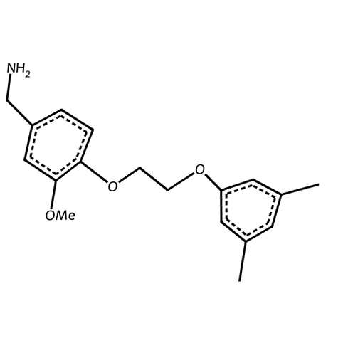 COc1cc(CN)ccc1OCCOc1cc(C)cc(C)c1